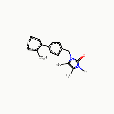 CCCCc1c(C(F)(F)F)n(CC)c(=O)n1Cc1ccc(-c2ccccc2C(=O)O)cc1